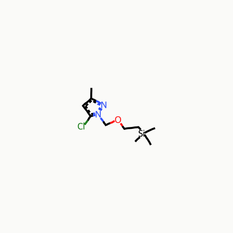 Cc1cc(Cl)n(COCC[Si](C)(C)C)n1